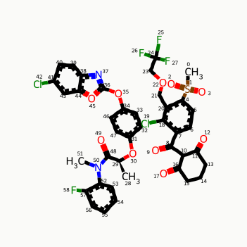 CS(=O)(=O)c1ccc(C(=O)C2C(=O)CCCC2=O)c(Cl)c1COCC(F)(F)F.C[C@H](Oc1ccc(Oc2nc3ccc(Cl)cc3o2)cc1)C(=O)N(C)c1ccccc1F